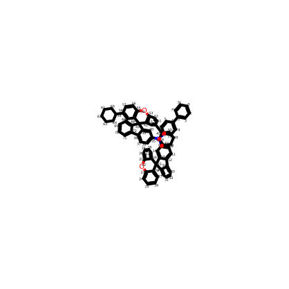 c1ccc(-c2ccc(N(c3ccc4c(c3)C3(c5ccccc5Oc5ccccc53)c3ccccc3-4)c3ccc4c(c3)C3(c5cc(C6CCCCC6)ccc5Oc5ccc(C6CCCCC6)cc53)c3ccccc3-4)cc2)cc1